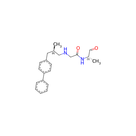 C[C@@H](CNCC(=O)N[C@@H](C)C=O)Cc1ccc(-c2ccccc2)cc1